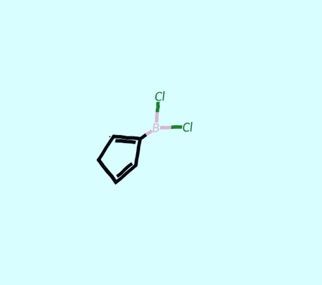 ClB(Cl)C1=[C]CC=C1